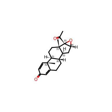 CC(=O)[C@@]12O[C@@H]1C[C@H]1[C@@H]3CCC4=CC(=O)C=C[C@]4(C)[C@H]3CC[C@@]12C